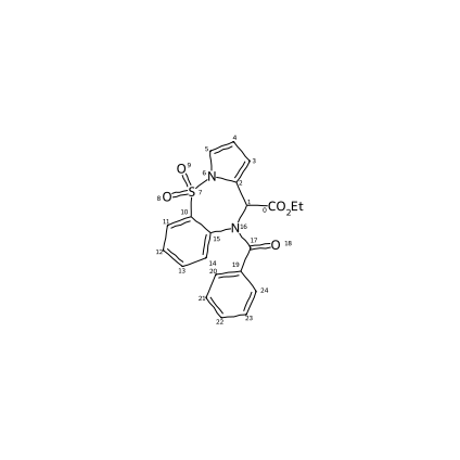 CCOC(=O)C1c2cccn2S(=O)(=O)c2ccccc2N1C(=O)c1ccccc1